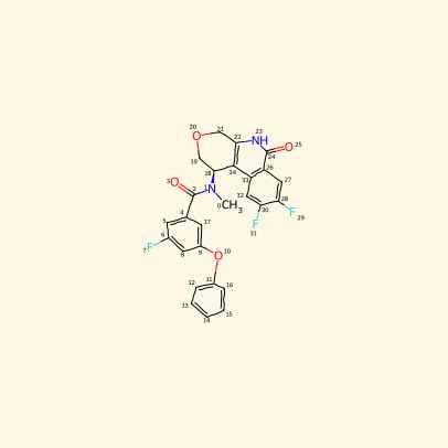 CN(C(=O)c1cc(F)cc(Oc2ccccc2)c1)[C@H]1COCc2[nH]c(=O)c3cc(F)c(F)cc3c21